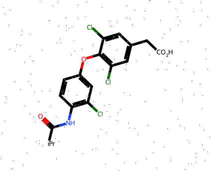 CC(C)C(=O)Nc1ccc(Oc2c(Cl)cc(CC(=O)O)cc2Cl)cc1Cl